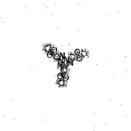 O=S(=O)(c1ccccc1)c1ccc2c(c1)nc1n2c2nc3cc(S(=O)(=O)c4ccccc4)ccc3n2c2nc3cc(S(=O)(=O)c4ccccc4)ccc3n12